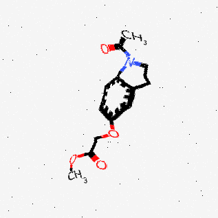 COC(=O)COc1ccc2c(c1)CCN2C(C)=O